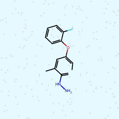 C=C(NN)/C(C)=C\C(=C/C)Oc1ccccc1F